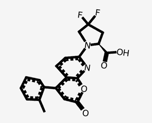 Cc1ccccc1-c1cc(=O)oc2nc(N3CC(F)(F)C[C@H]3C(=O)O)ccc12